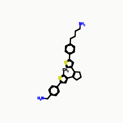 Cc1sc(-c2ccc(CN)cc2)cc1C1=C(c2csc(-c3ccc(CCCCN)cc3)c2)CCC1